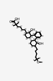 COC(C)(C)CCCCC1CCCC(c2ccccc2C2CCCC(CCCCC(C)(C)C(=O)O)C2O)C1O